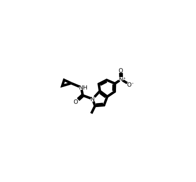 Cc1cc2cc([N+](=O)[O-])ccc2n1C(=O)NC1CC1